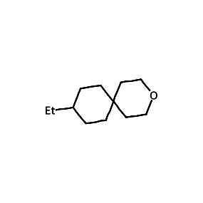 CCC1CCC2(CCOCC2)CC1